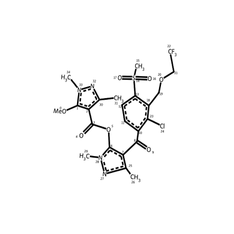 COc1c(C(=O)Oc2c(C(=O)c3ccc(S(C)(=O)=O)c(COCC(F)(F)F)c3Cl)c(C)nn2C)c(C)nn1C